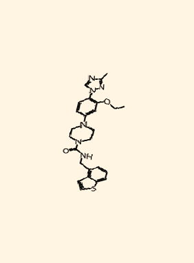 CCOc1cc(N2CCN(C(=O)NCc3cccc4sccc34)CC2)ccc1-n1cnc(C)n1